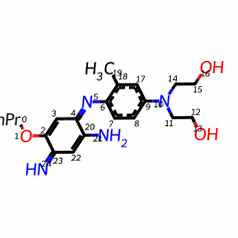 CCCOC1=C/C(=N/c2ccc(N(CCO)CCO)cc2C)C(N)=CC1=N